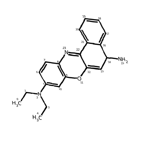 CCN(CC)c1ccc2c(c1)OC1=CC(N)c3ccccc3C1=N2